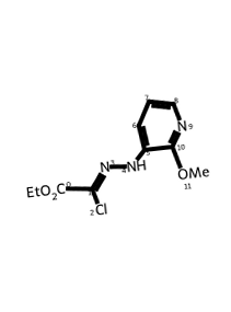 CCOC(=O)C(Cl)=NNc1cccnc1OC